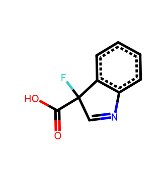 O=C(O)C1(F)C=Nc2ccccc21